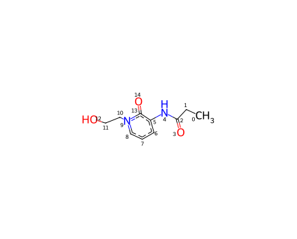 CCC(=O)Nc1cccn(CCO)c1=O